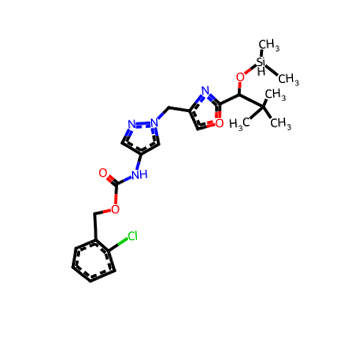 C[SiH](C)OC(c1nc(Cn2cc(NC(=O)OCc3ccccc3Cl)cn2)co1)C(C)(C)C